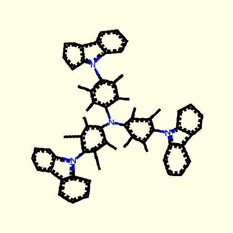 Cc1c(C)c(-n2c3ccccc3c3ccccc32)c(C)c(C)c1N(c1c(C)c(C)c(-n2c3ccccc3c3ccccc32)c(C)c1C)c1c(C)c(C)c(-n2c3ccccc3c3ccccc32)c(C)c1C